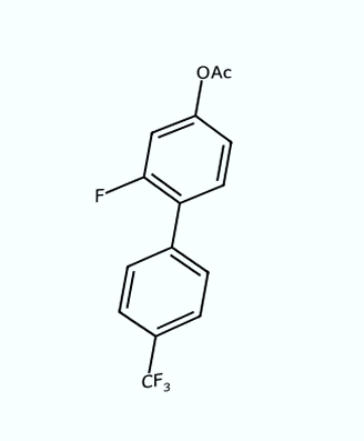 CC(=O)Oc1ccc(-c2ccc(C(F)(F)F)cc2)c(F)c1